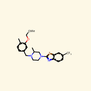 COCOc1cc(CN2CCN(c3nc4ccc(C(F)(F)F)cc4s3)CC2C)ccc1C